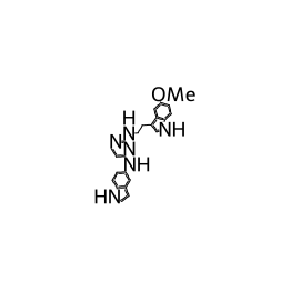 COc1ccc2[nH]cc(CCNc3nccc(Nc4ccc5[nH]ccc5c4)n3)c2c1